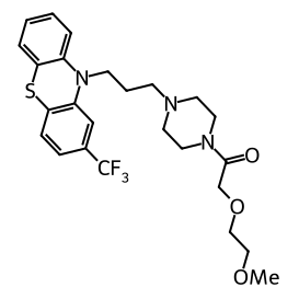 COCCOCC(=O)N1CCN(CCCN2c3ccccc3Sc3ccc(C(F)(F)F)cc32)CC1